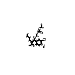 CCCCc1c(C)nc2cc(OC)c(Cl)cc2c1OCOC(=O)OCC